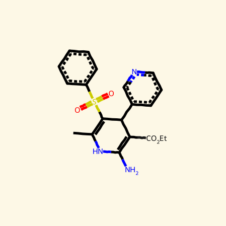 CCOC(=O)C1=C(N)NC(C)=C(S(=O)(=O)c2ccccc2)C1c1cccnc1